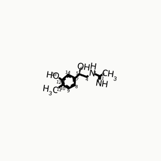 CC(=N)NC[C@H](O)c1ccc(C)c(O)c1